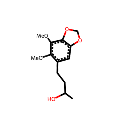 COc1c(CCC(C)O)cc2c(c1OC)OCO2